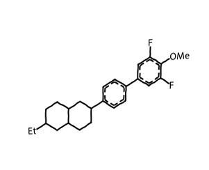 CCC1CCC2CC(c3ccc(-c4cc(F)c(OC)c(F)c4)cc3)CCC2C1